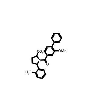 COc1cc(C(=O)N2C(C(=O)O)CCC2c2ccccc2C)ccc1-c1ccccc1